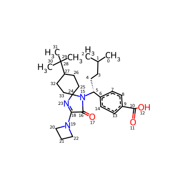 CC(C)CC[C@H](c1ccc(C(=O)O)cc1)N1C(=O)C(N2CCC2)=NC12CCC(C(C)(C)C)CC2